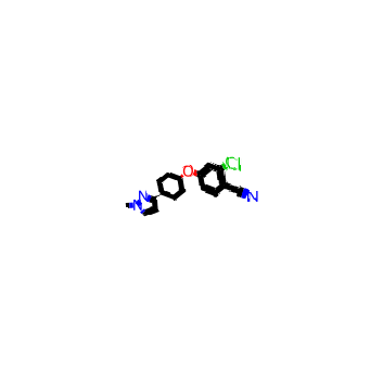 Cn1ccc([C@H]2CC[C@H](Oc3ccc(C#N)c(Cl)c3)CC2)n1